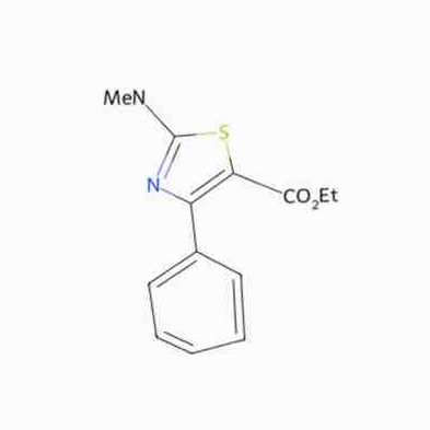 CCOC(=O)c1sc(NC)nc1-c1ccccc1